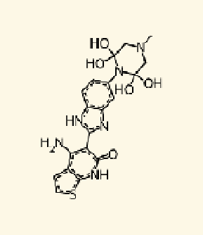 CN1CC(O)(O)N(c2ccc3[nH]c(-c4c(N)c5ccsc5[nH]c4=O)nc3c2)C(O)(O)C1